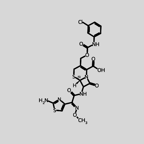 CON=C(C(=O)NC1C(=O)N2C(C(=O)O)=C(COC(=O)Nc3cccc(Cl)c3)CS[C@@H]12)c1csc(N)n1